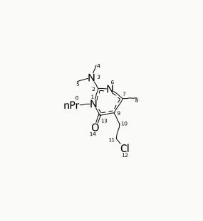 CCCn1c(N(C)C)nc(C)c(CCCl)c1=O